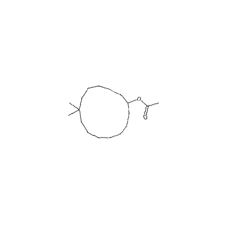 CC(=O)OC1CCCCCCCC(C)(C)CCCCC1